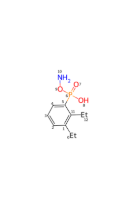 CCc1cccc(P(=O)(O)ON)c1CC